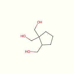 OCC1CCCC1(CO)CO